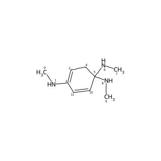 CNC1=CCC(NC)(NC)C=C1